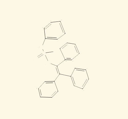 O=P([O-])(OC(=C(c1ccccc1)c1ccccc1)c1ccccc1)Oc1ccccc1.[K+]